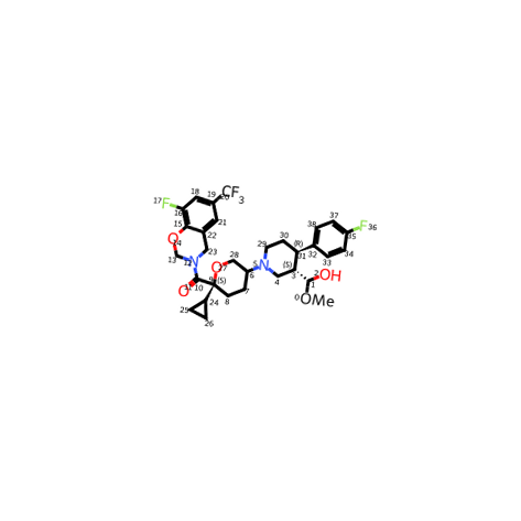 COC(O)[C@@H]1CN(C2CC[C@@](C(=O)N3COc4c(F)cc(C(F)(F)F)cc4C3)(C3CC3)OC2)CC[C@H]1c1ccc(F)cc1